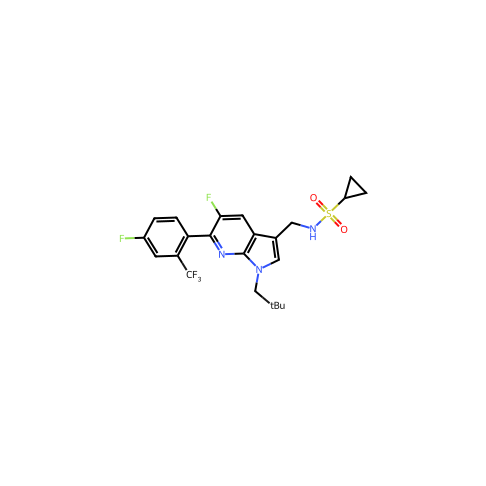 CC(C)(C)Cn1cc(CNS(=O)(=O)C2CC2)c2cc(F)c(-c3ccc(F)cc3C(F)(F)F)nc21